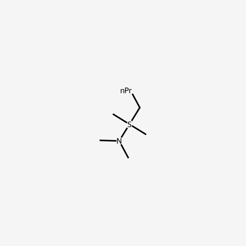 CCCCS(C)(C)N(C)C